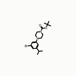 CC(C)c1cc(Br)cc(N2CCN(C(=O)OC(C)(C)C)CC2)c1